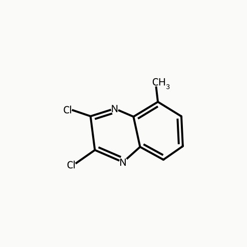 Cc1cccc2nc(Cl)c(Cl)nc12